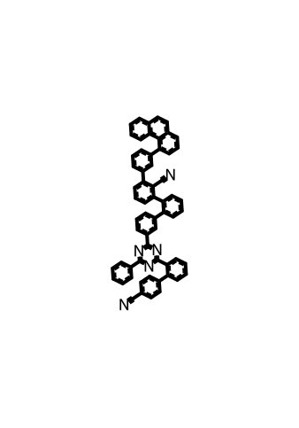 N#Cc1ccc(-c2ccccc2-c2nc(-c3ccccc3)nc(-c3cccc(-c4ccccc4-c4cccc(-c5cccc(-c6cccc7ccc8ccccc8c67)c5)c4C#N)c3)n2)cc1